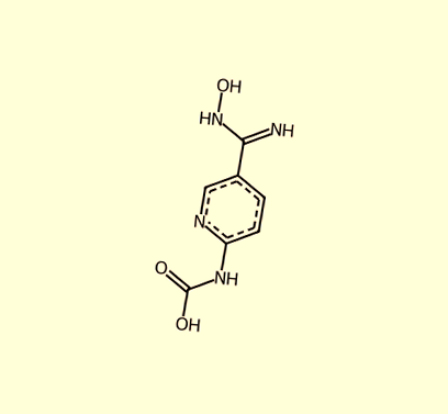 N=C(NO)c1ccc(NC(=O)O)nc1